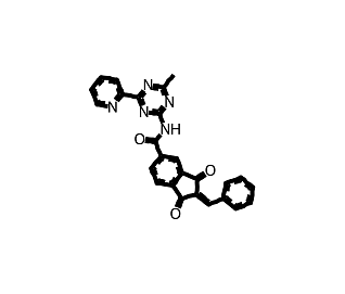 Cc1nc(NC(=O)c2ccc3c(c2)C(=O)/C(=C\c2ccccc2)C3=O)nc(-c2ccccn2)n1